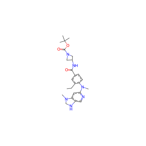 CCc1cc(C(=O)NC2CN(C(=O)OC(C)(C)C)C2)ccc1N(C)c1cc2c(cn1)NCN2C